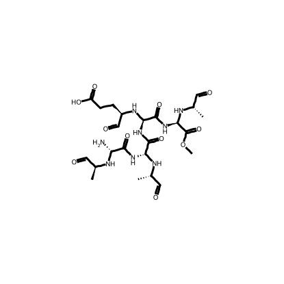 COC(=O)[C@@H](NC(=O)[C@@H](NC(=O)[C@@H](NC(=O)[C@@H](N)N[C@@H](C)C=O)N[C@@H](C)C=O)N[C@@H](C=O)CCC(=O)O)N[C@@H](C)C=O